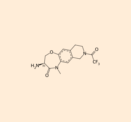 CN1C(=O)[C@@H](N)COc2cc3c(cc21)CN(C(=O)C(F)(F)F)CC3